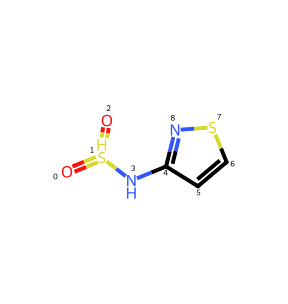 O=[SH](=O)Nc1ccsn1